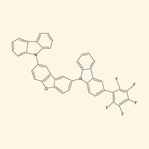 Fc1c(F)c(F)c(-c2ccc3c(c2)c2ccccc2n3-c2ccc3oc4ccc(-n5c6ccccc6c6ccccc65)cc4c3c2)c(F)c1F